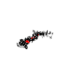 COc1c(-c2ccccc2)c(-c2ccccc2)c(Oc2c(F)c(F)c(-c3c(F)c(F)c(Oc4c(F)c(F)c(-c5c(F)c(F)c(Oc6c(C)cc(S(=O)(=O)c7cc(C)c(C)c(C)c7)cc6C)c(F)c5F)c(F)c4F)c(F)c3F)c(F)c2F)c(-c2ccccc2)c1-c1ccccc1